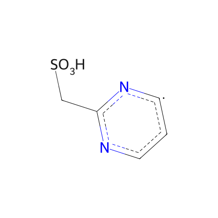 O=S(=O)(O)Cc1n[c]ccn1